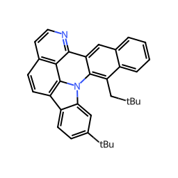 CC(C)(C)Cc1c2ccccc2cc2c3nccc4ccc5c6ccc(C(C)(C)C)cc6n(c12)c5c43